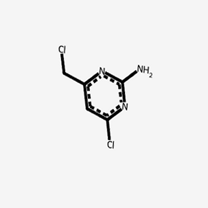 Nc1nc(Cl)cc(CCl)n1